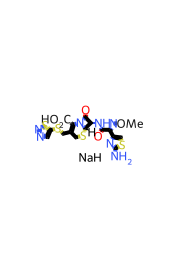 CON=C(C(=O)N[C@@H]1C(=O)N2C(C(=O)O)=C(CSc3cnns3)CS[C@H]12)c1csc(N)n1.[NaH]